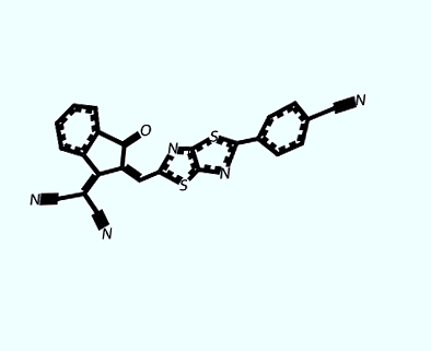 N#CC(C#N)=C1/C(=C/c2nc3sc(-c4ccc(C#N)cc4)nc3s2)C(=O)c2ccccc21